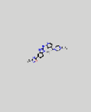 Cc1noc(-c2ccc3nc(Nc4cc(C(C)N5CCN(C(=O)O)CC5)ccn4)[nH]c3c2)n1